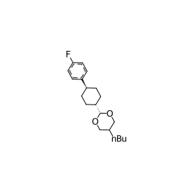 CCCCC1COC([C@H]2CC[C@H](c3ccc(F)cc3)CC2)OC1